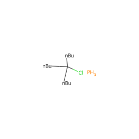 CCCCC(Cl)(CCCC)CCCC.P